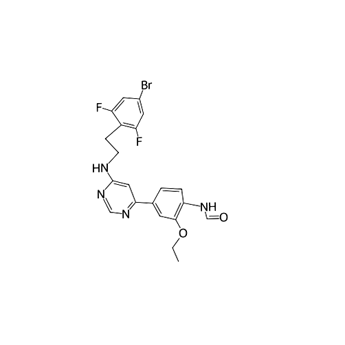 CCOc1cc(-c2cc(NCCc3c(F)cc(Br)cc3F)ncn2)ccc1NC=O